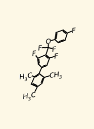 Cc1cc(C)c(-c2cc(F)c(C(F)(F)Oc3ccc(F)cc3)c(F)c2)c(C)c1